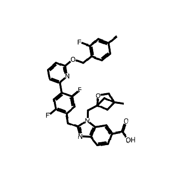 Cc1ccc(COc2cccc(-c3cc(F)c(Cc4nc5ccc(C(=O)O)cc5n4CC45CC(C)(CO4)C5)cc3F)n2)c(F)c1